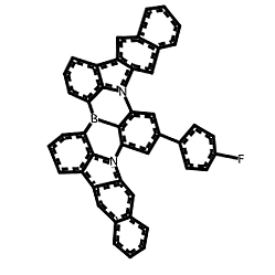 Fc1ccc(-c2cc3c4c(c2)-n2c5cc6ccccc6cc5c5cccc(c52)B4c2cccc4c5cc6ccccc6cc5n-3c24)cc1